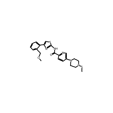 COCc1ccccc1-c1csc(NC(=O)c2ccc(N3CCN(SC)CC3)cn2)n1